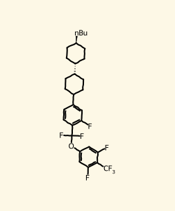 CCCC[C@H]1CC[C@H](C2CCC(c3ccc(C(F)(F)Oc4cc(F)c(C(F)(F)F)c(F)c4)c(F)c3)CC2)CC1